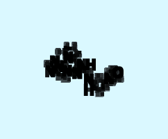 Cc1cccc(-c2[nH]c(CNc3cccc(N4CCOCC4)c3)nc2N2C=Cc3ncnn3C2)n1